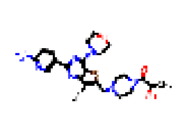 Cc1c(CN2CCN(C(=O)C(C)O)CC2)sc2c(N3CCOCC3)nc(-c3ccc(N)nc3)nc12